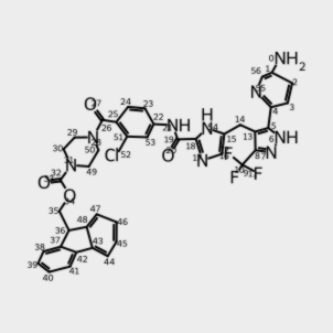 Nc1ccc(-c2[nH]nc(C(F)(F)F)c2Cc2cnc(C(=O)Nc3ccc(C(=O)N4CCN(C(=O)OCC5c6ccccc6-c6ccccc65)CC4)c(Cl)c3)[nH]2)nc1